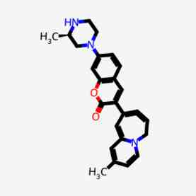 CC1=CC2=CC(c3cc4ccc(N5CCN[C@H](C)C5)cc4oc3=O)=C=CCN2C=C1